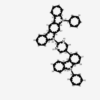 c1ccc(-n2c3ccccc3c3cc4c5ccccc5n(-c5ncc(-c6cccc7c6c6ccccc6n7-c6ccccc6)cn5)c4cc32)cc1